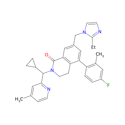 CCc1nccn1Cc1cc2c(c(-c3ccc(F)cc3C)c1)CCN(C(c1cc(C)ccn1)C1CC1)C2=O